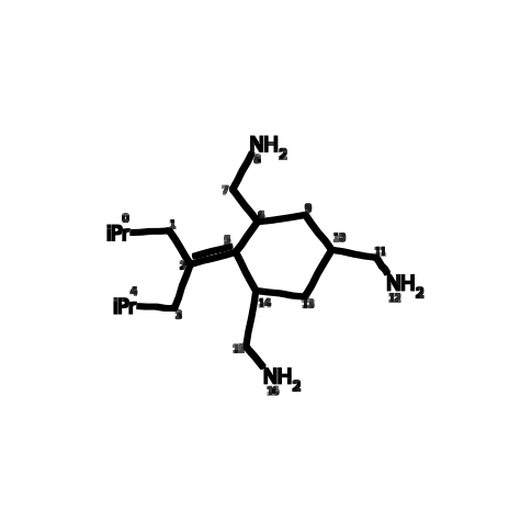 CC(C)CC(CC(C)C)=C1C(CN)CC(CN)CC1CN